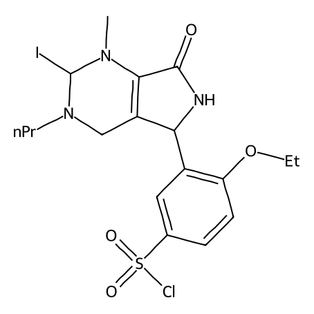 CCCN1CC2=C(C(=O)NC2c2cc(S(=O)(=O)Cl)ccc2OCC)N(C)C1I